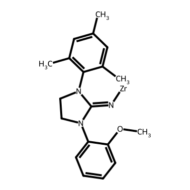 COc1ccccc1N1CCN(c2c(C)cc(C)cc2C)C1=[N][Zr]